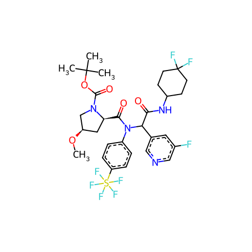 CO[C@@H]1C[C@H](C(=O)N(c2ccc(S(F)(F)(F)(F)F)cc2)C(C(=O)NC2CCC(F)(F)CC2)c2cncc(F)c2)N(C(=O)OC(C)(C)C)C1